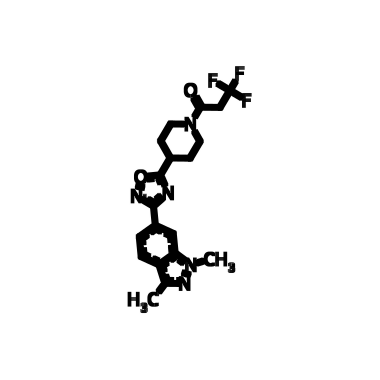 Cc1nn(C)c2cc(-c3noc(C4CCN(C(=O)CC(F)(F)F)CC4)n3)ccc12